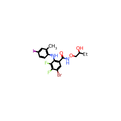 CCC(O)CONC(=O)c1cc(Br)c(F)c(F)c1Nc1ccc(I)cc1C